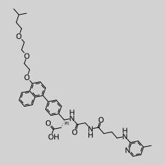 Cc1ccnc(NCCCC(=O)NCC(=O)N[C@H](CC(=O)O)c2ccc(-c3ccc(OCCOCCOCCC(C)C)c4ccccc34)cc2)c1